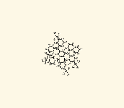 CC(C)(C)c1ccc(N2c3ccc(C(C)(C)C)cc3B3c4cc(C(C)(C)C)ccc4N(c4cccc5ccccc45)c4cc(N(c5cccc(C(C)(C)C)c5)c5cccc(C(C)(C)C)c5)cc2c43)cc1